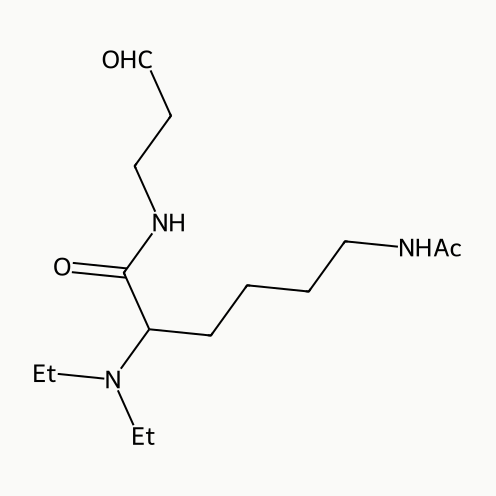 CCN(CC)C(CCCCNC(C)=O)C(=O)NCCC=O